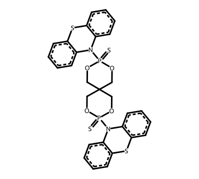 S=P1(N2c3ccccc3Sc3ccccc32)OCC2(CO1)COP(=S)(N1c3ccccc3Sc3ccccc31)OC2